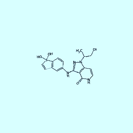 CC(CC#N)n1nc(Nc2ccc3c(c2)C=CS3(O)O)c2c(=O)[nH]ccc21